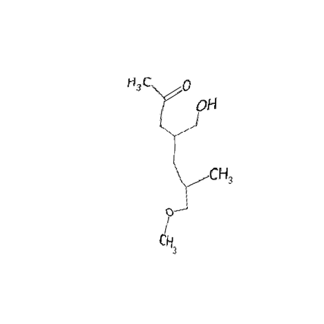 COCC(C)CC(CO)CC(C)=O